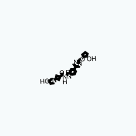 O=C(Nc1nc2ccc(-c3cnc(CO[C@H]4CCC[C@@H]4O)nc3)cc2s1)C1CC(N2CC[C@H](O)C2)C1